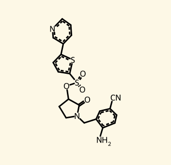 N#Cc1ccc(N)c(CN2CCC(OS(=O)(=O)c3ccc(-c4cccnc4)s3)C2=O)c1